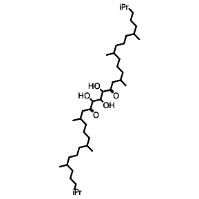 CC(C)CCCC(C)CCCC(C)CCCC(C)CC(=O)C(O)C(O)C(O)C(=O)CC(C)CCCC(C)CCCC(C)CCCC(C)C